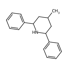 CC1CC(c2ccccc2)NC(c2ccccc2)C1